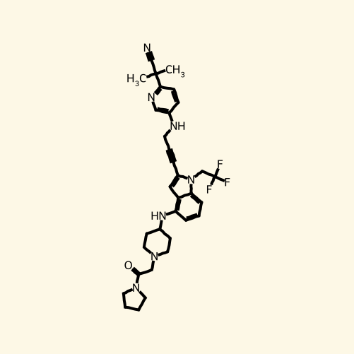 CC(C)(C#N)c1ccc(NCC#Cc2cc3c(NC4CCN(CC(=O)N5CCCC5)CC4)cccc3n2CC(F)(F)F)cn1